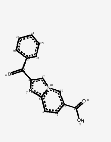 O=C(O)c1ccc2nc(C(=O)c3ccccc3)cn2c1